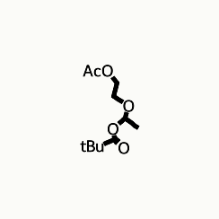 CC(=O)OCCOC(C)OC(=O)C(C)(C)C